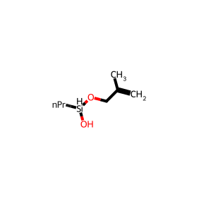 C=C(C)CO[SiH](O)CCC